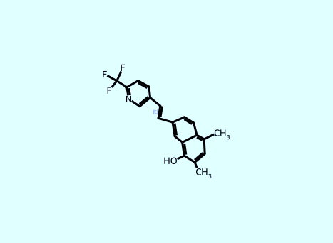 Cc1cc(C)c2ccc(/C=C/c3ccc(C(F)(F)F)nc3)cc2c1O